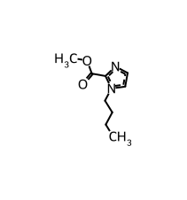 CCCCn1ccnc1C(=O)OC